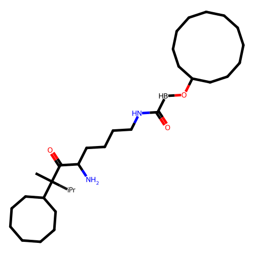 CC(C)C(C)(C(=O)C(N)CCCCNC(=O)BOC1CCCCCCCCCCC1)C1CCCCCCC1